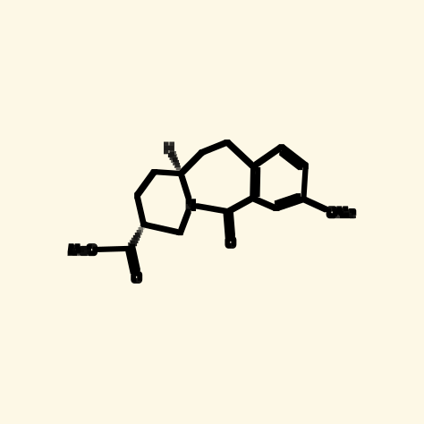 COC(=O)[C@@H]1CC[C@H]2CCc3ccc(OC)cc3C(=O)N2C1